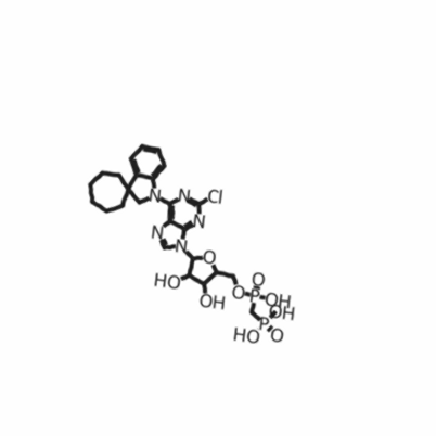 O=P(O)(O)CP(=O)(O)OCC1OC(n2cnc3c(N4CC5(CCCCCC5)c5ccccc54)nc(Cl)nc32)C(O)C1O